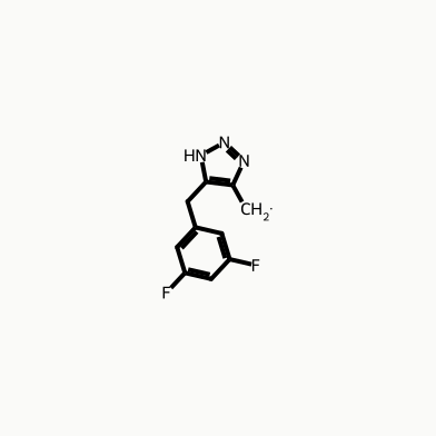 [CH2]c1nn[nH]c1Cc1cc(F)cc(F)c1